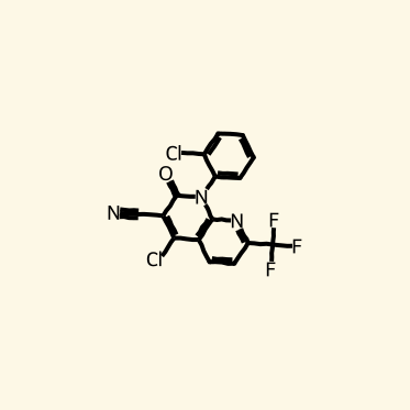 N#Cc1c(Cl)c2ccc(C(F)(F)F)nc2n(-c2ccccc2Cl)c1=O